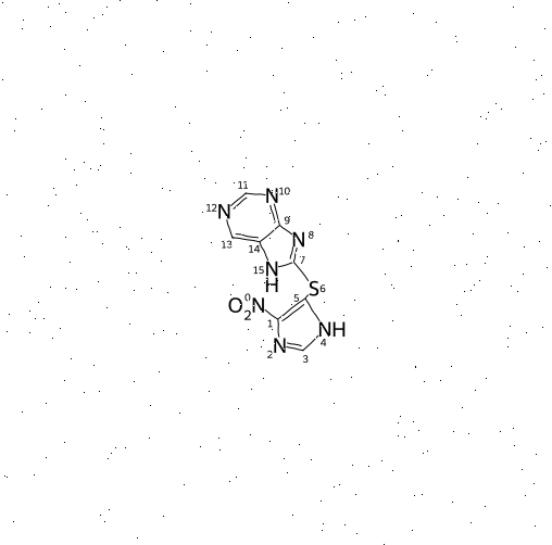 O=[N+]([O-])c1nc[nH]c1Sc1nc2ncncc2[nH]1